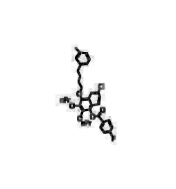 CCCOc1c(OCCC)c(OC(=O)c2ccc(F)cc2)c2ccc(Cl)cc2c1OCCCCc1cccc(C)c1